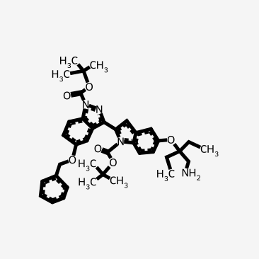 CCC(CC)(CN)Oc1ccc2c(c1)cc(-c1nn(C(=O)OC(C)(C)C)c3ccc(OCc4ccccc4)cc13)n2C(=O)OC(C)(C)C